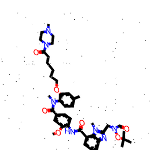 COc1cc(C(=O)N(C)c2ccc(C)cc2OCCCCCC(=O)N2CCN(C)CC2)ccc1NC(=O)c1cccc2nc(CN(C=O)OC(C)(C)C)n(C)c12